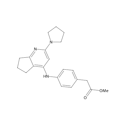 COC(=O)Cc1ccc(Nc2cc(N3CCCC3)nc3c2CCC3)cc1